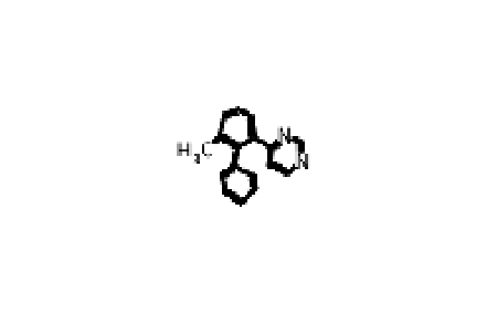 Cc1cccc(-c2ccncn2)c1-c1ccccc1